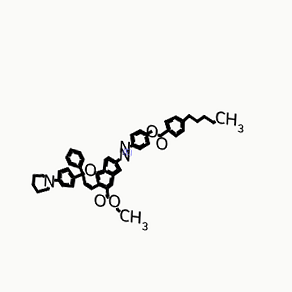 CCCCCc1ccc(C(=O)Oc2ccc(/N=N/c3ccc4c5c(c(C(=O)OCC)cc4c3)C=CC(c3ccccc3)(c3ccc(N4CCCCC4)cc3)O5)cc2)cc1